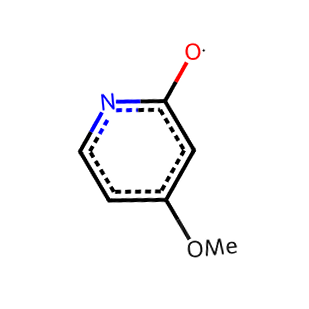 COc1ccnc([O])c1